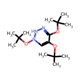 CC(C)(C)OC1=CN(OC(C)(C)C)NN=C1OC(C)(C)C